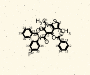 Cc1csc2c1c(OC(=O)c1ccccc1)c(C(=O)N(C(=O)c1ccccc1)c1ccc(F)cc1)c(=O)n2C